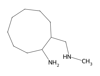 CNCC1CCCCCCCC1N